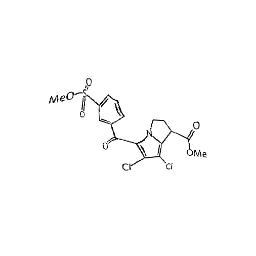 COC(=O)C1CCn2c(C(=O)c3cccc(S(=O)(=O)OC)c3)c(Cl)c(Cl)c21